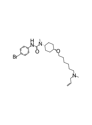 C=CCN(C)CCCCCCO[C@H]1CC[C@H](N(C)C(=O)Nc2ccc(Br)cc2)CC1